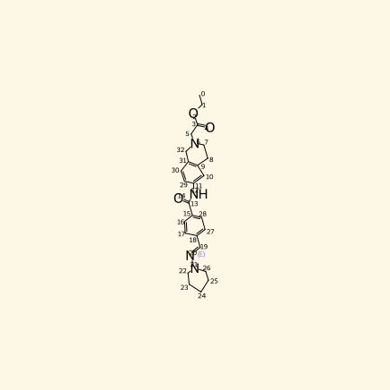 CCOC(=O)CN1CCc2cc(NC(=O)c3ccc(/C=N/N4CCCCC4)cc3)ccc2C1